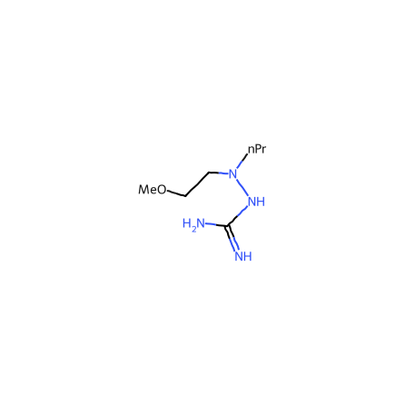 CCCN(CCOC)NC(=N)N